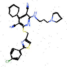 N#Cc1c(NCCCN2CCCC2)nc(SCc2csc(-c3ccc(Cl)cc3)n2)c(C#N)c1C1CCCCC1